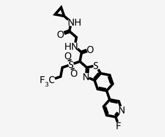 O=C(CNC(=O)C(c1nc2cc(-c3ccc(F)nc3)ccc2s1)S(=O)(=O)CCC(F)(F)F)NC1CC1